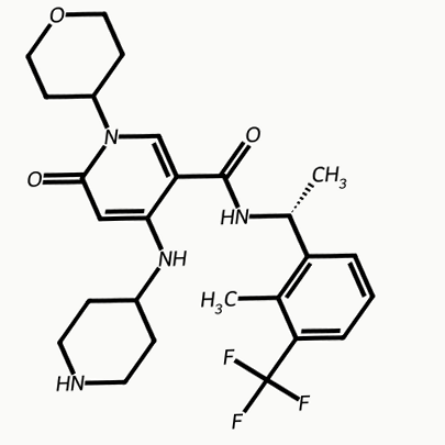 Cc1c([C@@H](C)NC(=O)c2cn(C3CCOCC3)c(=O)cc2NC2CCNCC2)cccc1C(F)(F)F